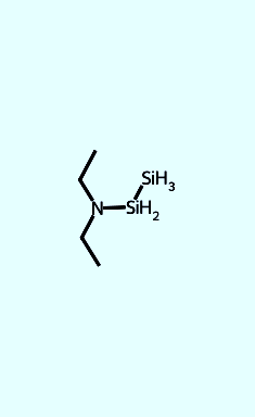 CCN(CC)[SiH2][SiH3]